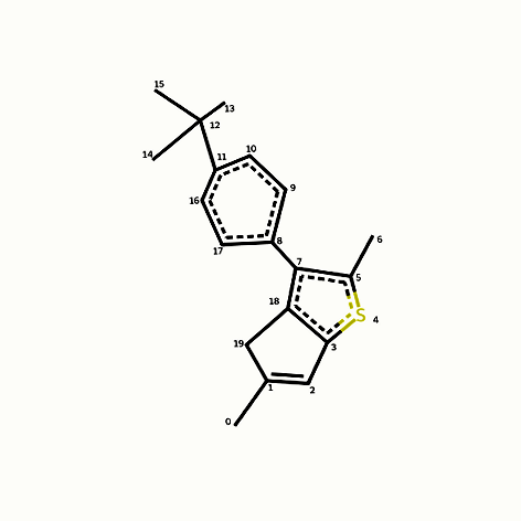 CC1=Cc2sc(C)c(-c3ccc(C(C)(C)C)cc3)c2C1